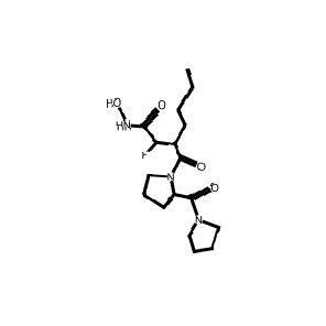 CCCCC(C(=O)N1CCCC1C(=O)N1CCCC1)C(F)C(=O)NO